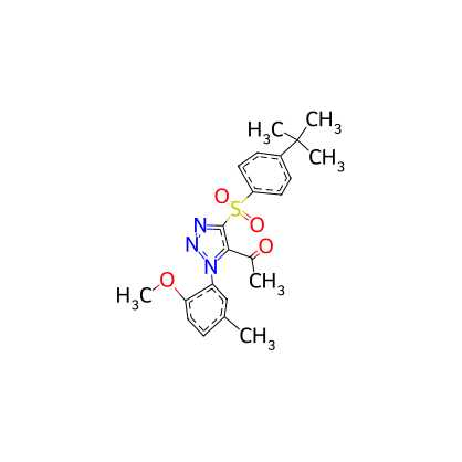 COc1ccc(C)cc1-n1nnc(S(=O)(=O)c2ccc(C(C)(C)C)cc2)c1C(C)=O